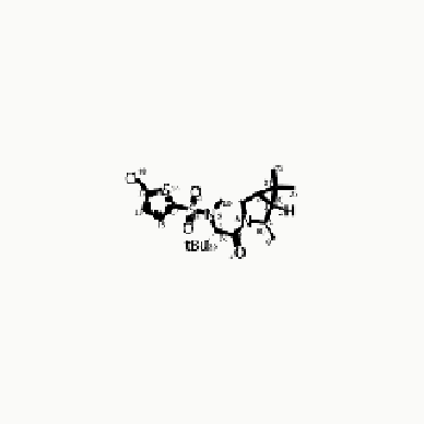 C[C@@H]1[C@@H]2C(CN1C(=O)[C@@H](N(C)S(=O)(=O)c1ccc(Cl)s1)C(C)(C)C)C2(C)C